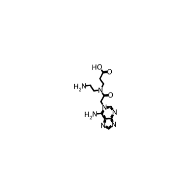 NCCN(CCC(=O)O)C(=O)Cn1cnc2ncnc-2c1N